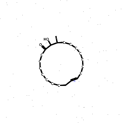 CC1CCCCCCC/C=C/CCCCCCCCC(=O)C1O